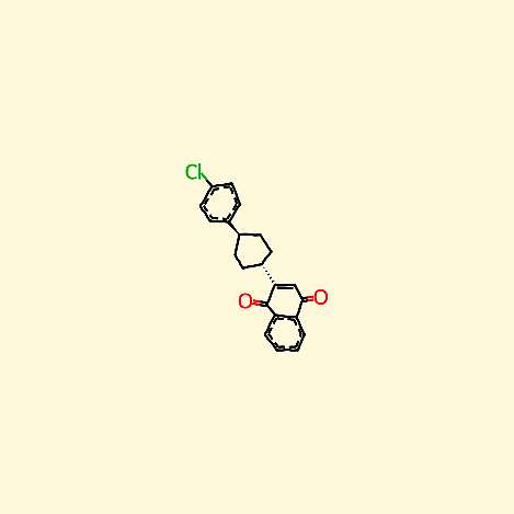 O=C1C=C([C@H]2CC[C@H](c3ccc(Cl)cc3)CC2)C(=O)c2ccccc21